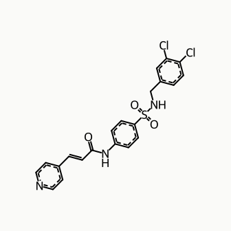 O=C(/C=C/c1ccncc1)Nc1ccc(S(=O)(=O)NCc2ccc(Cl)c(Cl)c2)cc1